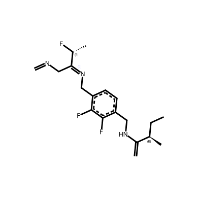 C=NC/C(=N\Cc1ccc(CNC(=C)[C@H](C)CC)c(F)c1F)[C@@H](C)F